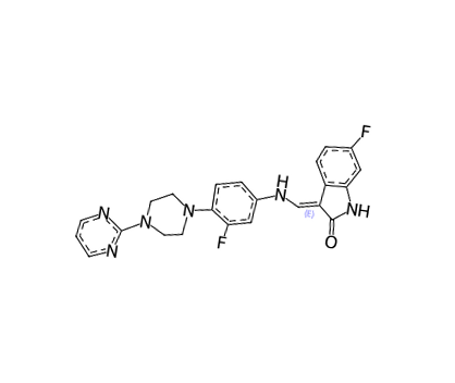 O=C1Nc2cc(F)ccc2/C1=C\Nc1ccc(N2CCN(c3ncccn3)CC2)c(F)c1